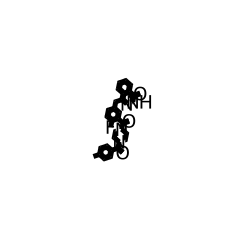 Cc1ccc(C(=O)N2CCN(C(=O)c3cc(Cc4n[nH]c(=O)c5ccccc45)ccc3F)CC2)cc1